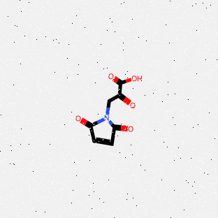 O=C(O)C(=O)CN1C(=O)C=CC1=O